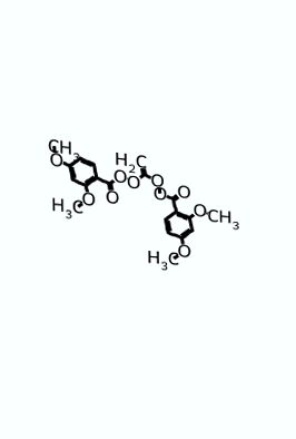 C=C(OOC(=O)c1ccc(OC)cc1OC)OOC(=O)c1ccc(OC)cc1OC